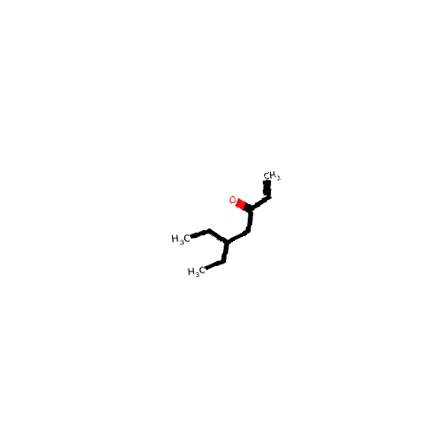 C=CC(=O)CC(CC)CC